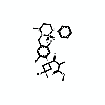 COC(=O)C(C)C(=O)[C@]1(c2cc(F)c(CN3[C@@H](C)CC[C@H](c4ccccc4)S3(=O)=O)cc2F)C[C@@](C)(O)C1